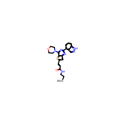 COCCNC(=O)/C=C/c1cc2nc(-c3cccc4[nH]ncc34)nc(N3CCOCC3)c2s1